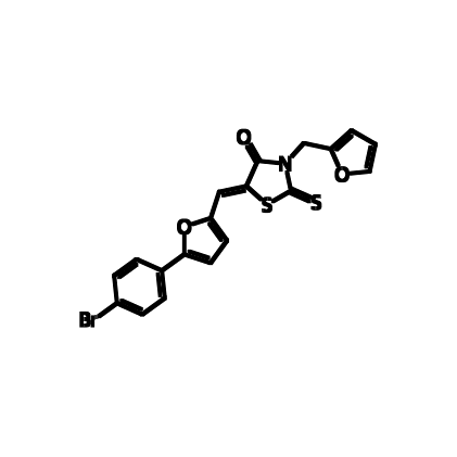 O=C1C(=Cc2ccc(-c3ccc(Br)cc3)o2)SC(=S)N1Cc1ccco1